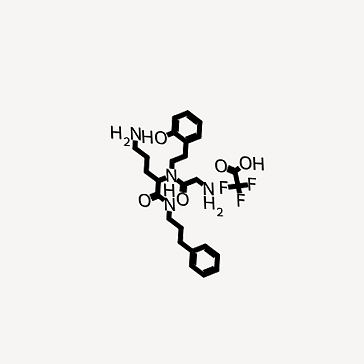 NCCCC(C(=O)NCCCc1ccccc1)N(CCc1ccccc1O)C(=O)CN.O=C(O)C(F)(F)F